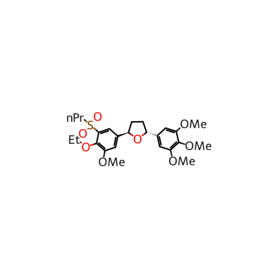 CCCS(=O)(=O)c1cc([C@H]2CC[C@H](c3cc(OC)c(OC)c(OC)c3)O2)cc(OC)c1OCC